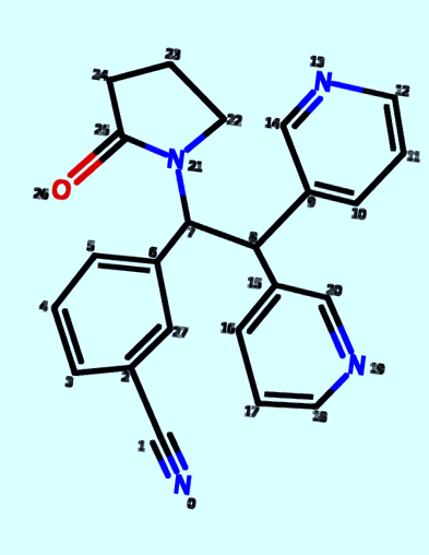 N#Cc1cccc(C(C(c2cccnc2)c2cccnc2)N2CCCC2=O)c1